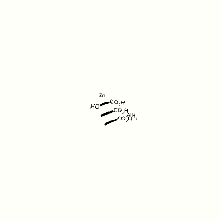 CC(=O)O.CC(=O)O.O=C(O)O.[AlH3].[Zn]